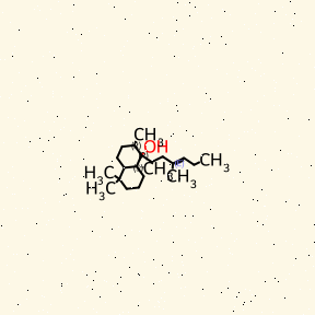 CC/C=C(\C)CC[C@@]1(O)[C@H](C)CCC2C(C)(C)CCC[C@@]21C